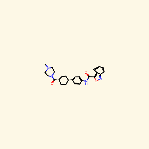 CN1CCN(C(=O)[C@H]2CC[C@H](c3ccc(NC(=O)c4onc5ccccc45)cc3)CC2)CC1